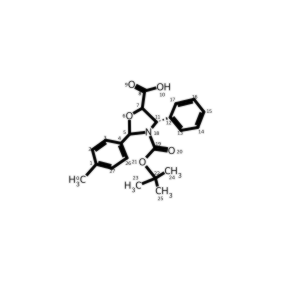 Cc1ccc(C2OC(C(=O)O)[C@H](c3ccccc3)N2C(=O)OC(C)(C)C)cc1